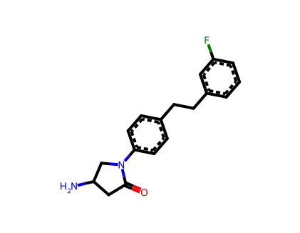 NC1CC(=O)N(c2ccc(CCc3cccc(F)c3)cc2)C1